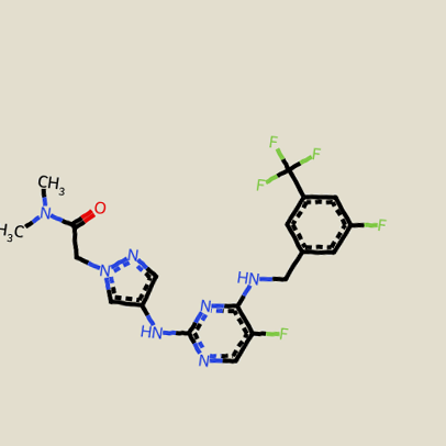 CN(C)C(=O)Cn1cc(Nc2ncc(F)c(NCc3cc(F)cc(C(F)(F)F)c3)n2)cn1